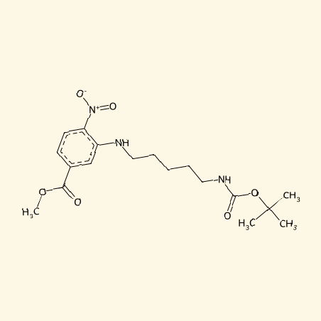 COC(=O)c1ccc([N+](=O)[O-])c(NCCCCCNC(=O)OC(C)(C)C)c1